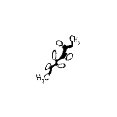 CCC(=O)C(=O)C(=O)C(=O)C(=O)CC